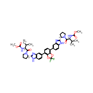 COC(=O)N[C@H](C(=O)N1CCC[C@H]1c1nc2cc(-c3ccc(-c4ccc5[nH]c([C@@H]6CCCN6C(=O)[C@@H](NC(=O)OC)C(C)C)nc5c4)c4c3OC(F)(F)O4)ccc2[nH]1)C(C)C